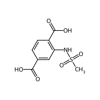 CS(=O)(=O)Nc1cc(C(=O)O)ccc1C(=O)O